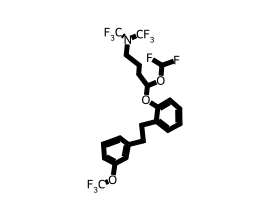 FC(F)OC(CCCN(C(F)(F)F)C(F)(F)F)Oc1ccccc1CCc1cccc(OC(F)(F)F)c1